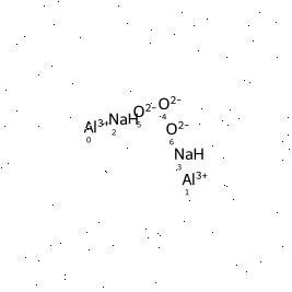 [Al+3].[Al+3].[NaH].[NaH].[O-2].[O-2].[O-2]